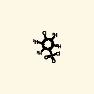 [2H]c1c([2H])c(S(=O)(=O)Cl)c([2H])c([2H])c1Cl